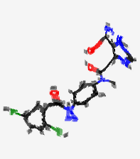 CN(C(=O)c1nc[nH]c1C(N)=O)c1ccc(NC(=O)c2cc(F)ccc2F)cc1